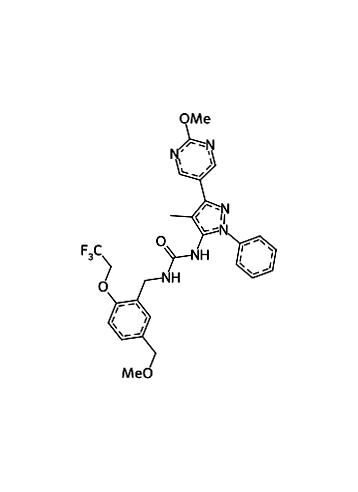 COCc1ccc(OCC(F)(F)F)c(CNC(=O)Nc2c(C)c(-c3cnc(OC)nc3)nn2-c2ccccc2)c1